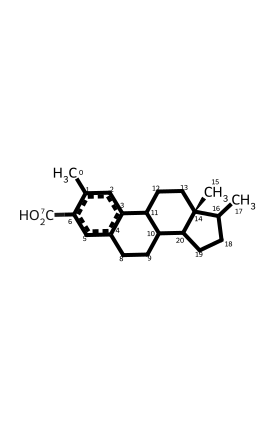 Cc1cc2c(cc1C(=O)O)CCC1C2CC[C@]2(C)C(C)CCC12